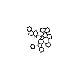 c1ccc(-n2c3ccccc3c3c4c5c6c7c(cccc7ccc6n(-c6nc7ccc8ccccc8c7nc6-c6ccc7ccccc7c6)c5cc32)-c2ccccc2-4)cc1